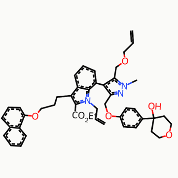 C=CCOCc1c(-c2cccc3c(CCCOc4cccc5ccccc45)c(C(=O)OCC)n(CC=C)c23)c(COc2ccc(C3(O)CCOCC3)cc2)nn1C